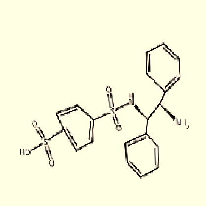 N[C@H](c1ccccc1)[C@H](NS(=O)(=O)c1ccc(S(=O)(=O)O)cc1)c1ccccc1